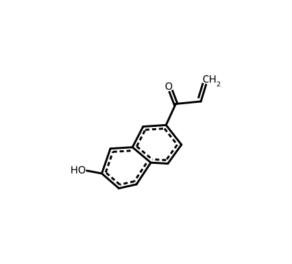 C=CC(=O)c1ccc2ccc(O)cc2c1